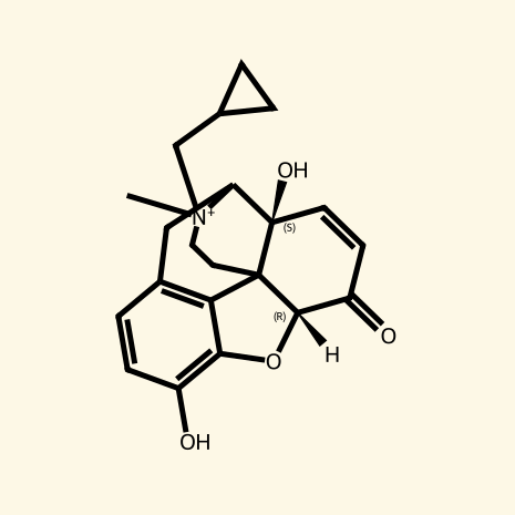 C[N+]1(CC2CC2)CCC23c4c5ccc(O)c4O[C@H]2C(=O)C=C[C@@]3(O)C1C5